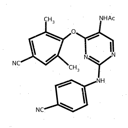 CC(=O)Nc1cnc(Nc2ccc(C#N)cc2)nc1Oc1c(C)cc(C#N)cc1C